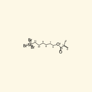 C=C(C)C(=O)OCCCCCC[Si](Br)(Br)Br